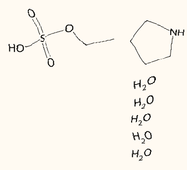 C1CCNC1.CCOS(=O)(=O)O.O.O.O.O.O